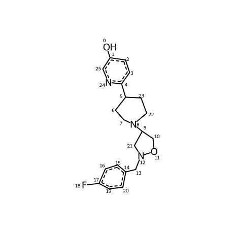 Oc1ccc(C2CCN(C3CON(Cc4ccc(F)cc4)C3)CC2)nc1